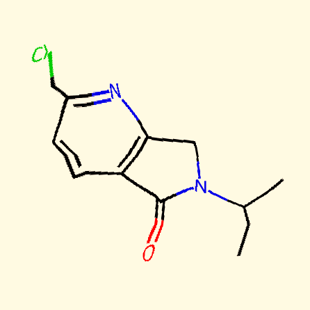 CC(C)N1Cc2nc(Cl)ccc2C1=O